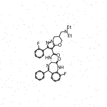 CCN(CC)CC1COc2c(C(=O)N[C@H]3N=C(c4ccccc4)c4cccc(F)c4NC3=O)c(-c3ccccc3F)nn2C1